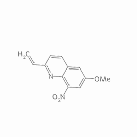 C=Cc1ccc2cc(OC)cc([N+](=O)[O-])c2n1